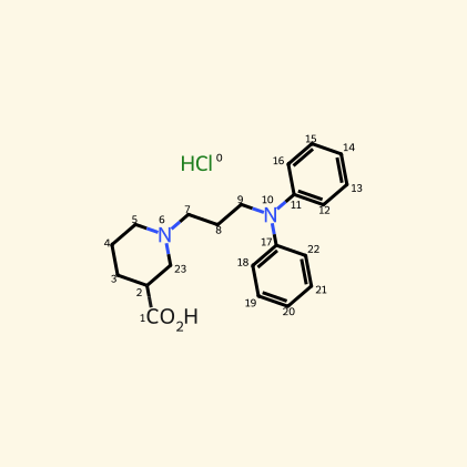 Cl.O=C(O)C1CCCN(CCCN(c2ccccc2)c2ccccc2)C1